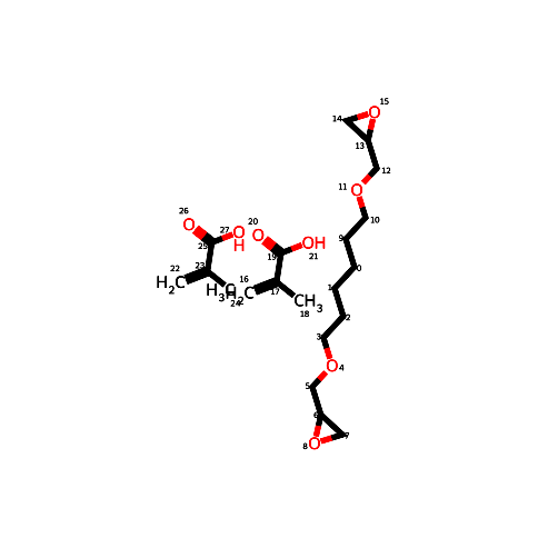 C(CCCOCC1CO1)CCOCC1CO1.C=C(C)C(=O)O.C=C(C)C(=O)O